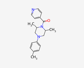 Cc1ccc(N2CC(C)N(C(=O)c3ccncc3)C(C)C2)cc1